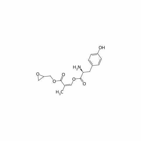 CC(=COC(=O)[C@@H](N)Cc1ccc(O)cc1)C(=O)OCC1CO1